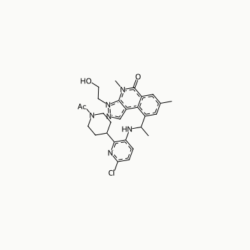 CC(=O)N1CCC(c2nc(Cl)ccc2NC(C)c2cc(C)cc3c(=O)n(C)c4c(cnn4CCO)c23)CC1